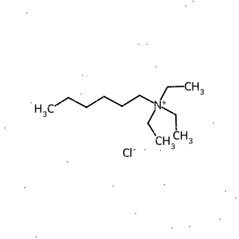 CCCCCC[N+](CC)(CC)CC.[Cl-]